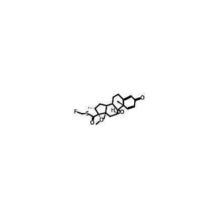 CO[C@]1(C(=O)SCF)[C@H](C)CC2C3CCC4=CC(=O)C=C[C@]4(C)[C@@]34O[C@H]4C[C@@]21C